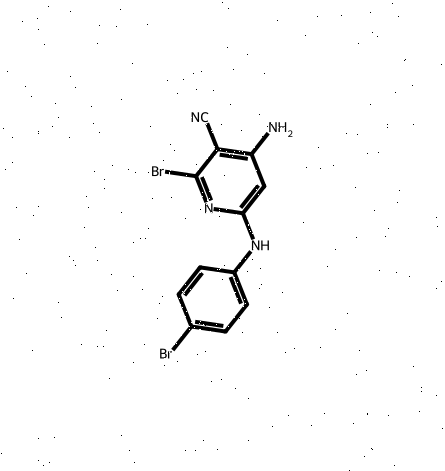 N#Cc1c(N)cc(Nc2ccc(Br)cc2)nc1Br